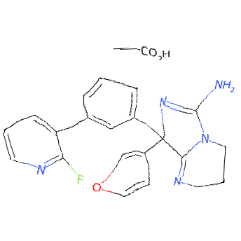 CC(=O)O.NC1=NC(c2ccoc2)(c2cccc(-c3cccnc3F)c2)C2=NCCCN12